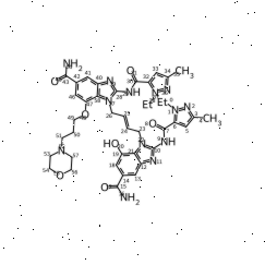 CCn1nc(C)cc1C(=O)Nc1nc2cc(C(N)=O)cc(O)c2n1C/C=C/Cn1c(NC(=O)c2cc(C)nn2CC)nc2cc(C(N)=O)cc(OCCCN3CCOCC3)c21